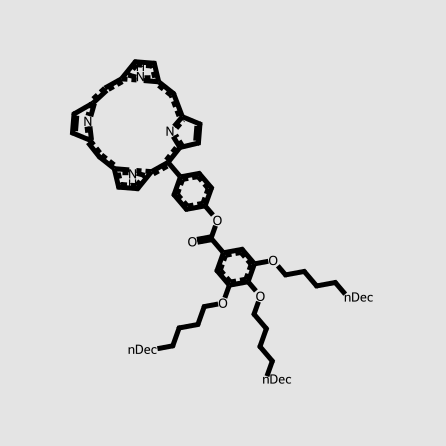 CCCCCCCCCCCCCCOc1cc(C(=O)Oc2ccc(-c3c4nc(cc5ccc(cc6nc(cc7ccc3[nH]7)C=C6)[nH]5)C=C4)cc2)cc(OCCCCCCCCCCCCCC)c1OCCCCCCCCCCCCCC